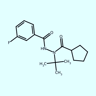 CC(C)(C)N(NC(=O)c1cccc(F)c1)C(=O)C1CCCC1